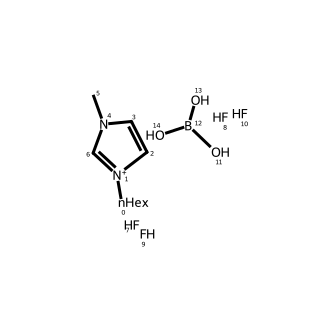 CCCCCC[n+]1ccn(C)c1.F.F.F.F.OB(O)O